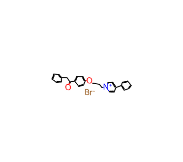 O=C(Cc1ccccc1)c1ccc(OCCC[n+]2ccc(-c3ccccc3)cc2)cc1.[Br-]